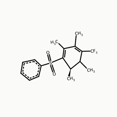 CC1=C(C(F)(F)F)C(C)[C@@H](C)C(S(=O)(=O)c2ccccc2)=C1C